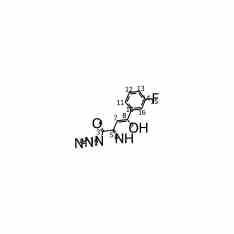 [N-]=[N+]=NC(=O)C(=N)/C=C(\O)c1cccc(F)c1